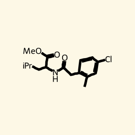 COC(=O)C(CC(C)C)NC(=O)Cc1ccc(Cl)cc1C